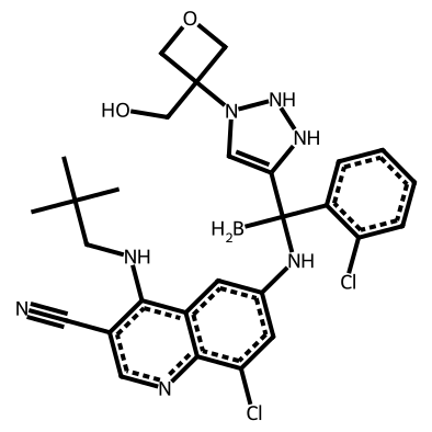 BC(Nc1cc(Cl)c2ncc(C#N)c(NCC(C)(C)C)c2c1)(C1=CN(C2(CO)COC2)NN1)c1ccccc1Cl